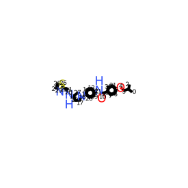 CC(C)COc1ccc(C(=O)Nc2ccc(N3CCC(NCc4nccs4)C3)cc2)cc1